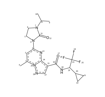 Cc1cc(N2CCN(C(C)C)C2=O)nc2c(C(=O)NC(C3CC3)C(F)(F)F)cnn12